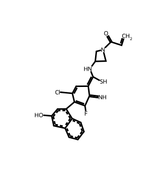 C=CC(=O)N1CC(N/C(S)=C2\C=C(Cl)C(c3cc(O)cc4ccccc34)=C(F)C2=N)C1